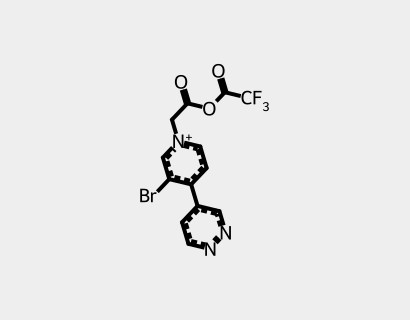 O=C(C[n+]1ccc(-c2ccnnc2)c(Br)c1)OC(=O)C(F)(F)F